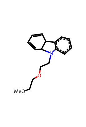 COCCOCCN1c2ccccc2C2C=CC=CC21